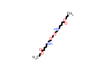 CCCCOC(=O)CCCCNCCOCCOCCNCCCCC(=O)OCCC